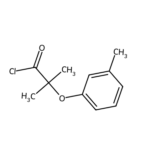 Cc1cccc(OC(C)(C)C(=O)Cl)c1